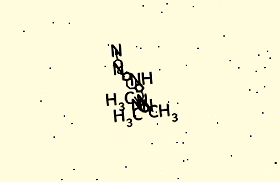 CCc1nc2c(C)cc(C)nc2n1Cc1ccc2c(c1)CCc1cc(CN3CCC(C#N)CC3)ccc1N2